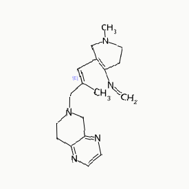 C=NC1=C(/C=C(\C)CN2CCc3nccnc3C2)CN(C)CC1